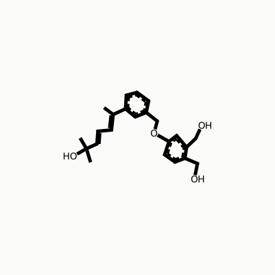 CC(=CC=CC(C)(C)O)c1cccc(COc2ccc(CO)c(CO)c2)c1